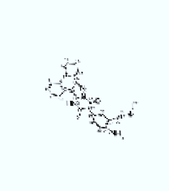 Cc1[nH]c2c(-c3ccccc3)c(-c3ccccc3)nn2c(=O)c1-c1ccc(N)c(C#CSI)c1